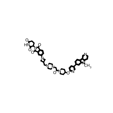 Cn1c2ccncc2c2ccc(-c3ccc(OC4CCN(C(=O)CN5CCN(CC6CN(c7ccc8c(c7)C(=O)N(C7CCC(=O)NC7=O)C8=O)C6)CC5)CC4)nc3)cc21